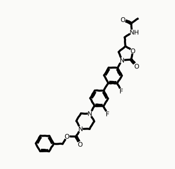 CC(=O)NCC1CN(c2ccc(-c3ccc(N4CCN(C(=O)OCc5ccccc5)CC4)c(F)c3)c(F)c2)C(=O)O1